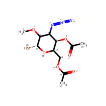 COC1C(N=[N+]=[N-])[C@@H](OC(C)=O)C(COC(C)=O)O[C@@H]1S